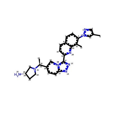 Cc1cnn(-c2ccc3ccc(-c4nnc5ccc([C@H](C)N6CC[C@H](N)C6)cn45)nc3c2C)c1